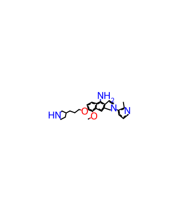 COc1c(OCCCC2CCNC2)ccc2c(N)c3c(cc12)CN(c1cccnc1C)C=C3